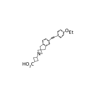 CCOc1ccc(C#Cc2ccc3c(c2)CC2(C3)CN(C3CC(C(=O)O)C3)C2)cc1